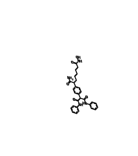 NC(=O)C(CCCCCC(=O)NO)c1ccc(C(C(=O)Nc2ccccc2)C(=O)Nc2ccccc2)cc1